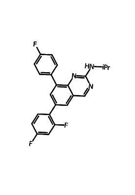 CC(C)Nc1ncc2cc(-c3ccc(F)cc3F)cc(-c3ccc(F)cc3)c2n1